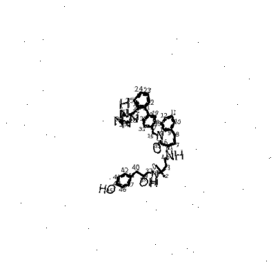 CC(C)(CCN[C@@H]1CCc2ccccc2N(Cc2ccc(-c3ccccc3-c3nnn[nH]3)cc2)C1=O)NCC(O)Cc1ccc(O)cc1